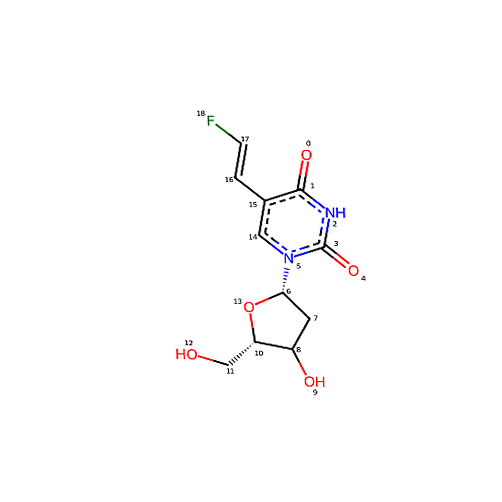 O=c1[nH]c(=O)n([C@@H]2CC(O)[C@H](CO)O2)cc1C=CF